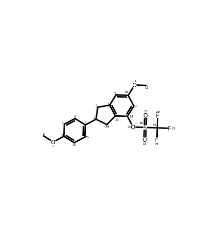 COc1ccc(C2Cc3cc(OC)cc(OS(=O)(=O)C(F)(F)F)c3C2)cc1